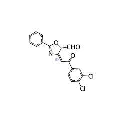 O=CC1OC(c2ccccc2)=N/C1=C/C(=O)c1ccc(Cl)c(Cl)c1